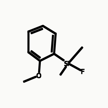 COc1ccccc1[Si](C)(C)F